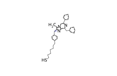 C=c1/c(=C/c2ccc(CCCCCCCS)cc2)nc2c(Cc3ccccc3)nc(-c3ccccc3)cn12